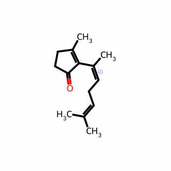 CC(C)=CC/C=C(/C)C1=C(C)CCC1=O